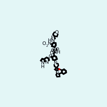 CC(C)c1ccccc1C1CCCN1C1CC2(CCN(c3ccc(C(=O)NS(=O)(=O)c4ccc(NCC5(F)CCOCC5)c([N+](=O)[O-])c4)c(Oc4cnc5[nH]ccc5c4)c3)CC2)C1